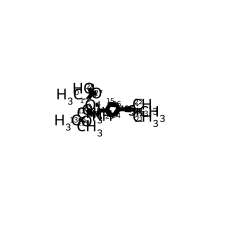 CC[C@@H](OC[C@H](NC(=O)OC(C)(C)C)c1ccc(C#C[Si](C)(C)C)cc1)C(=O)O